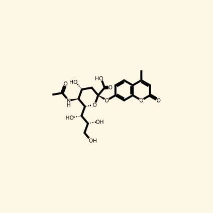 CC(=O)N[C@@H]1[C@@H]([C@@H](O)[C@H](O)CO)O[C@@](Oc2ccc3c(C)cc(=O)oc3c2)(C(=O)O)C[C@H]1O